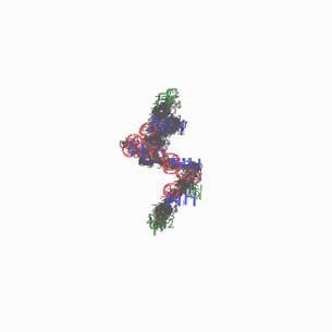 C=CS(=O)(=O)NC[C@H]1CCC(/C=C/S(=O)(=O)NC[C@H]2CCCN2S(=O)(=O)c2ccc(CC(=O)NCc3ccc(C(F)(F)F)cc3)c(Cl)c2)N1S(=O)(=O)c1ccc(C(Cc2ccccc2)C(=O)NCc2ccc(C(F)(F)F)cc2)cc1